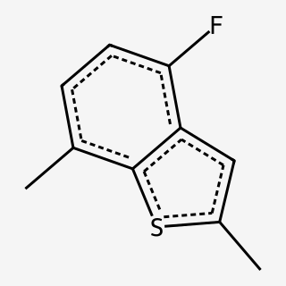 Cc1cc2c(F)ccc(C)c2s1